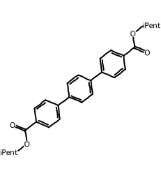 CCCC(C)OC(=O)c1ccc(-c2ccc(-c3ccc(C(=O)OC(C)CCC)cc3)cc2)cc1